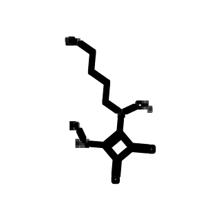 CCNc1c(N(C)CCCCC(C)(C)C)c(=O)c1=O